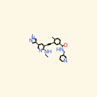 CCNc1ncc(-c2cnn(C)c2)cc1C#Cc1cc(C(=O)NCc2cccnc2)ccc1C